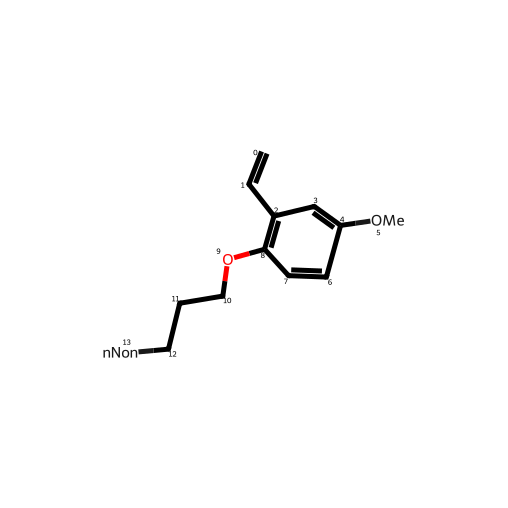 C=Cc1cc(OC)ccc1OCCCCCCCCCCCC